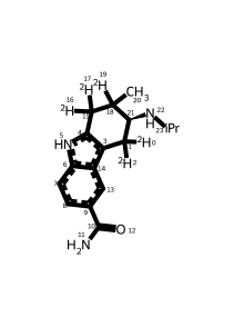 [2H]C1([2H])c2c([nH]c3ccc(C(N)=O)cc23)C([2H])([2H])C([2H])(C)[C@H]1NC(C)C